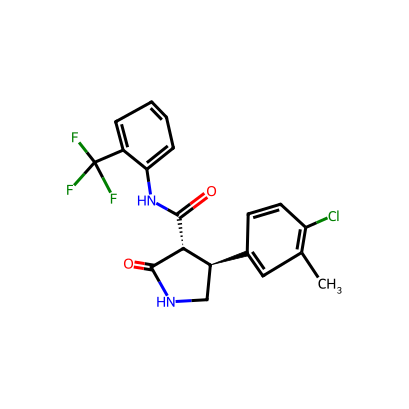 Cc1cc([C@H]2CNC(=O)[C@@H]2C(=O)Nc2ccccc2C(F)(F)F)ccc1Cl